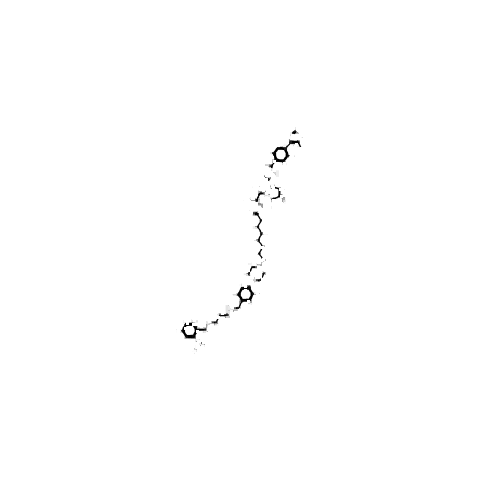 Cc1ncsc1-c1ccc([C@H](C)NC(=O)[C@@H]2C[C@@H](O)CN2C(=O)[C@@H](NC(=O)CCCCCCCN2CCN(c3ccc(CNCCCNCc4ccccc4N(C)C)cc3)CC2)C(C)(C)C)cc1